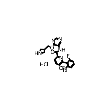 Cl.O=C(Nc1cncnc1OCC1CNC1)c1ccc(C(F)(F)F)c(-c2c(F)cccc2F)n1